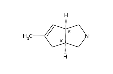 CC1=C[C@H]2C[N]C[C@H]2C1